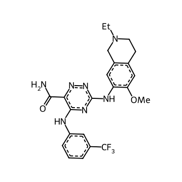 CCN1CCc2cc(OC)c(Nc3nnc(C(N)=O)c(Nc4cccc(C(F)(F)F)c4)n3)cc2C1